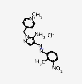 Cc1c(/N=N/c2cnn(Cc3cc[n+](C)cc3)c2N)cccc1[N+](=O)[O-].[Cl-]